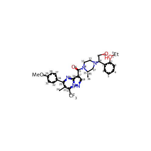 CCOc1ccccc1C(CO)N1CCN(C(=O)c2cnn3c(C(F)(F)F)c(C)c(-c4ccc(OC)cc4)nc23)[C@H](C)C1